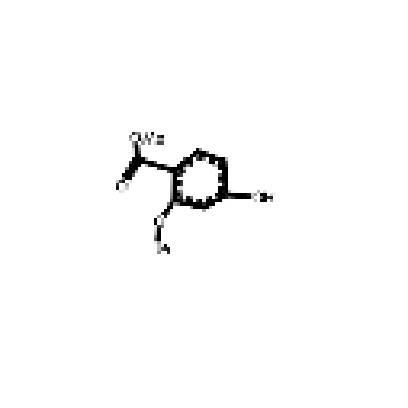 COC(=O)c1ccc(O)cc1OC(C)C